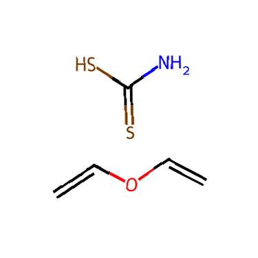 C=COC=C.NC(=S)S